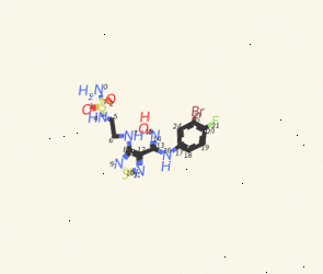 NS(=O)(=O)NCCNc1nsnc1C(=NO)Nc1ccc(F)c(Br)c1